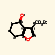 CCOC(=O)c1coc2c1C(=O)CCC2